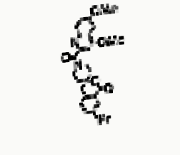 COc1ccc2nc(C(=O)N3CCC4(CC3)Cc3ccc(C(C)C)cc3C(=O)O4)cc(OC)c2c1